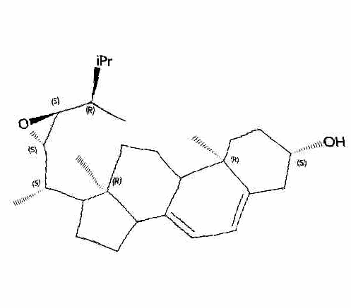 CC(C)[C@@H](C)[C@@H]1O[C@H]1[C@@H](C)C1CCC2C3=CC=C4C[C@@H](O)CC[C@]4(C)C3CC[C@@]21C